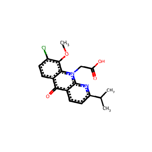 COc1c(Cl)ccc2c(=O)c3ccc(C(C)C)nc3n(CC(=O)O)c12